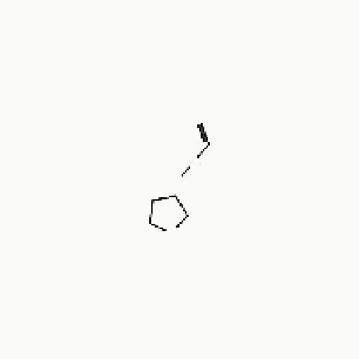 C1CCOC1.C=[CH][Mg][Br]